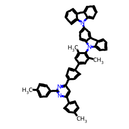 Cc1ccc(-c2cc(-c3ccc(-c4cc(C)c(-n5c6ccccc6c6cc(-n7c8ccccc8c8ccccc87)ccc65)c(C)c4)cc3)nc(-c3ccc(C)cc3)n2)cc1